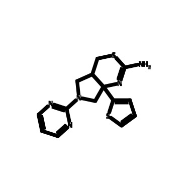 NC1=NC2(c3cccs3)CN(c3ncccn3)CC2CS1